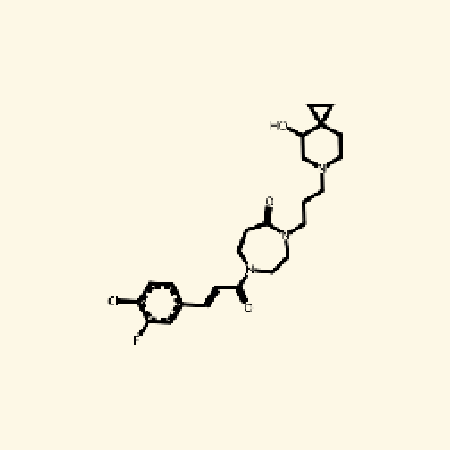 O=C(C=Cc1ccc(Cl)c(F)c1)N1CCC(=O)N(CCCN2CCC3(CC3)C(O)C2)CC1